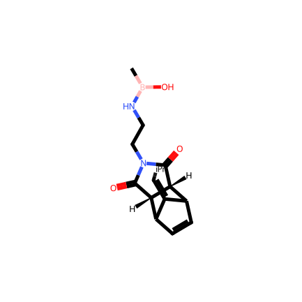 CB(O)NCCN1C(=O)[C@@H]2C3C=CC(/C3=C/C(C)C)[C@@H]2C1=O